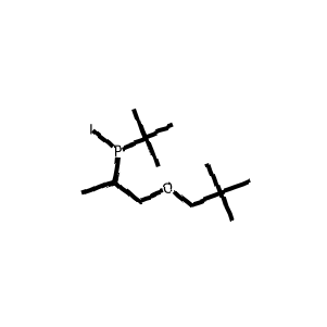 CC(COCC(C)(C)C)P(I)C(C)(C)C